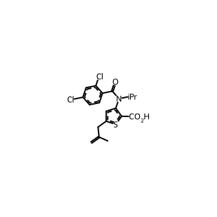 C=C(C)Cc1cc(N(C(=O)c2ccc(Cl)cc2Cl)C(C)C)c(C(=O)O)s1